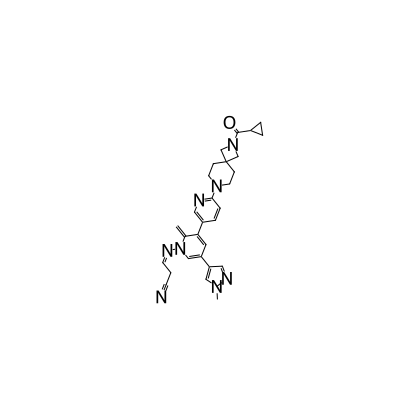 C=C1C(c2ccc(N3CCC4(CC3)CN(C(=O)C3CC3)C4)nc2)=CC(c2cnn(C)c2)=CN1/N=C\CC#N